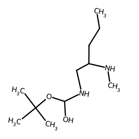 CCCC(CNC(O)OC(C)(C)C)NC